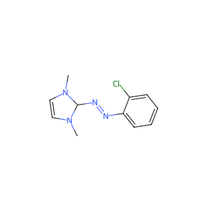 CN1C=CN(C)C1N=Nc1ccccc1Cl